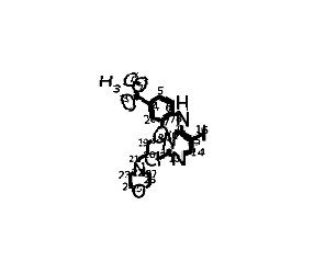 COC(=O)c1ccc(Nc2nc(Cl)ncc2I)c(OCCCN2CCOCC2)c1